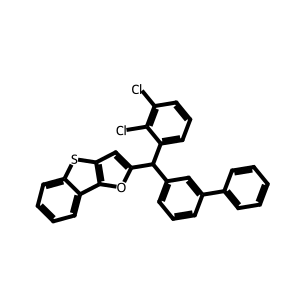 Clc1cccc(C(c2cccc(-c3ccccc3)c2)c2cc3sc4ccccc4c3o2)c1Cl